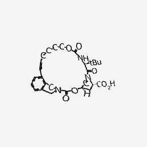 CC(C)(C)[C@@H]1NC(=O)OCCCC/C=C\c2cccc3c2CN(C3)C(=O)O[C@@H]2C[C@@H](C(=O)O)N(C2)C1=O